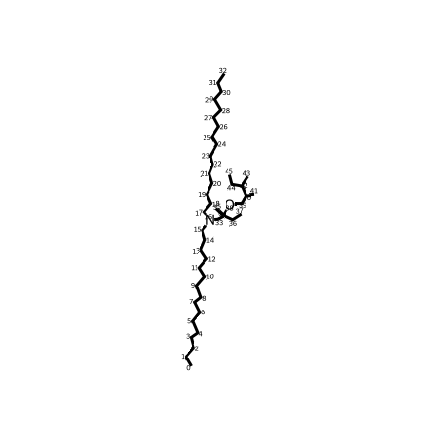 CCCCCCCCCCCCCCCCN(CCCCCCCCCCCCCCCC)CC(C)(CC)OCC(C)C(C)CC